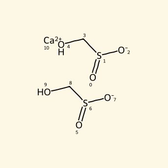 O=S([O-])CO.O=S([O-])CO.[Ca+2]